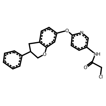 O=C(CCl)Nc1ccc(Oc2ccc3c(c2)OCC(c2ccccc2)C3)nc1